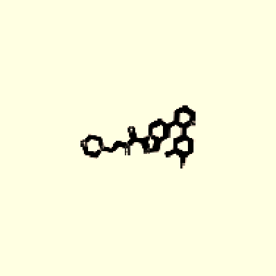 Cc1cc(-c2ncccc2-c2ccn3c(C(=O)NCCN4CCOCC4)ncc3c2)ccc1F